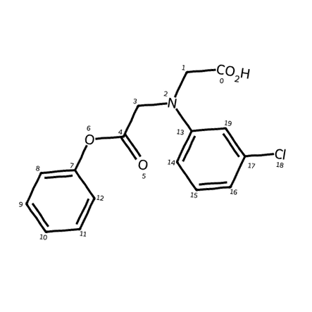 O=C(O)CN(CC(=O)Oc1ccccc1)c1cccc(Cl)c1